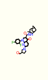 CC1(NC(=O)c2cn(-c3ccc(F)cc3F)c3nc(N4CCC(C=O)C4)ccc3c2=O)CC2CC3C[C@@]3(C2)C1